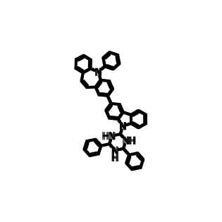 C1=Cc2cc(-c3ccc4c(c3)c3ccccc3n4C3NC(c4ccccc4)NC(c4ccccc4)N3)ccc2N(c2ccccc2)c2ccccc21